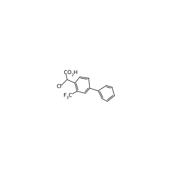 O=C(O)C(Cl)c1ccc(-c2ccccc2)cc1C(F)(F)F